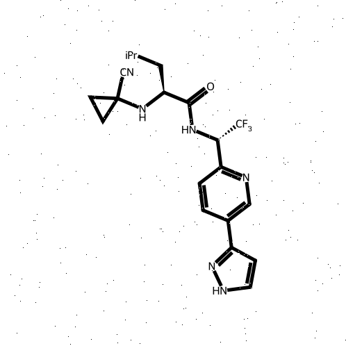 CC(C)C[C@H](NC1(C#N)CC1)C(=O)N[C@@H](c1ccc(-c2cc[nH]n2)cn1)C(F)(F)F